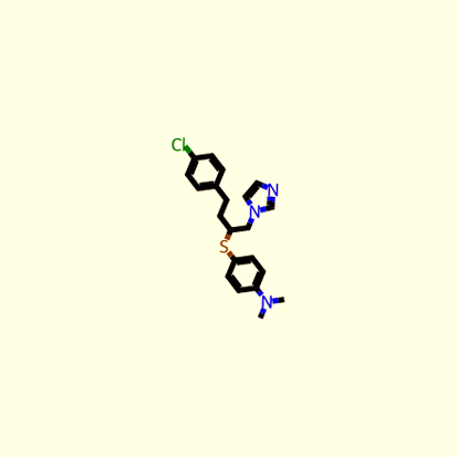 CN(C)c1ccc(SC(CCc2ccc(Cl)cc2)Cn2ccnc2)cc1